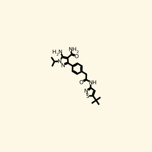 CC(C)n1nc(-c2ccc(CC(=O)Nc3cc(C(C)(C)C)sn3)cc2)c(C(N)=O)c1N